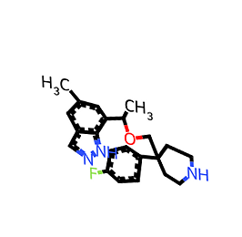 Cc1cc(C(C)OCC2(c3ccc(F)cc3)CCNCC2)c2[nH]ncc2c1